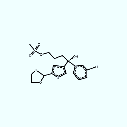 CS(=O)(=O)OCCC[C@](O)(c1cccc(Cl)c1)c1csc(C2OCCO2)c1